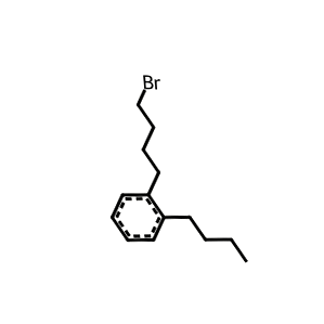 CCCCc1ccccc1CCCCBr